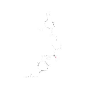 CC(C)(C)c1cc(Cl)ccc1OCC1CCC(C(=O)Nc2ccc(CO)cc2)C1